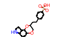 O=S(=O)(O)c1ccc(CCC2COc3ccc4[nH]ccc4c3O2)cc1